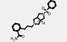 NC(=O)c1ccccc1[CH]CCN1CC2CN(S(=O)(=O)c3ccccc3)C[C@@H]2C1